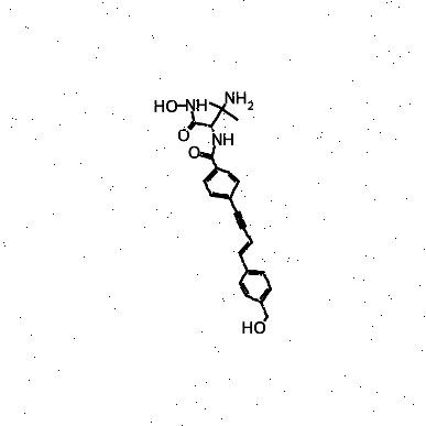 CC(C)(N)[C@H](NC(=O)c1ccc(C#C/C=C/c2ccc(CO)cc2)cc1)C(=O)NO